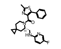 Cc1nc(C(=O)N2CCC3(CC3)C[C@H]2CNc2ccc(F)cn2)c(-c2ccccc2)s1